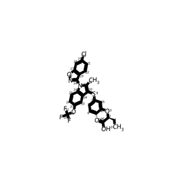 CC[C@H](Oc1cccc(Sc2c(C)n(-c3noc4cc(Cl)ccc34)c3ccc(OC(F)(F)F)cc23)c1)C(=O)O